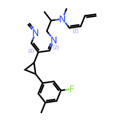 C=C/C=C\N(C)C(C)C/N=C\C(=C/N=C)C1CC1c1cc(C)cc(F)c1